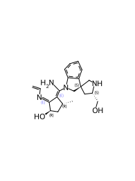 C=C/N=C1\C(=C(/N)N2C[C@]3(CN[C@H](CO)C3)c3ccccc32)[C@H](C)C[C@H]1O